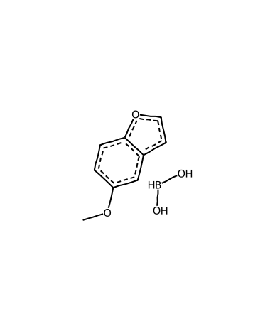 COc1ccc2occc2c1.OBO